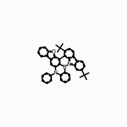 CC(C)(C)c1ccc2c3ccc(C(C)(C)C)c4c3n(c2c1)B1c2ccccc2N(c2ccccc2)c2cc3c(oc5ccccc53)c-4c21